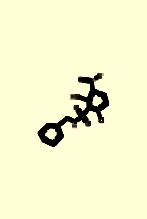 O=[N+]([O-])c1ccc(Cl)c(S(=O)(=O)NCc2ccccc2)c1O